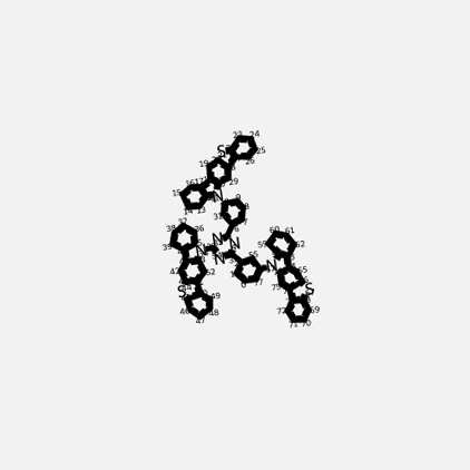 c1cc(-c2nc(-c3cccc(-n4c5ccccc5c5cc6sc7ccccc7c6cc54)c3)nc(-n3c4ccccc4c4cc5sc6ccccc6c5cc43)n2)cc(-n2c3ccccc3c3cc4sc5ccccc5c4cc32)c1